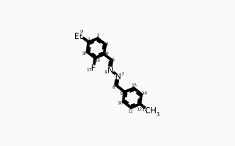 CCc1ccc(C=NN=Cc2ccc(C)cc2)c(F)c1